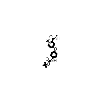 CNC(=O)c1cc(Oc2ccc(NC(=O)OC(C)(C)C)cc2)cc[n+]1[O-]